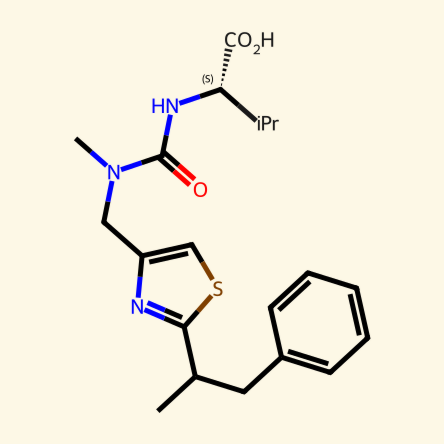 CC(Cc1ccccc1)c1nc(CN(C)C(=O)N[C@H](C(=O)O)C(C)C)cs1